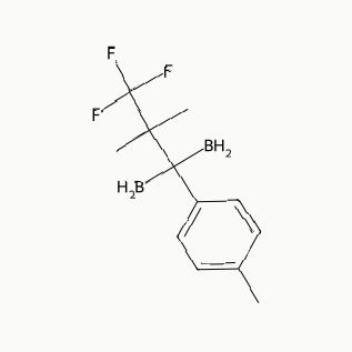 BC(B)(c1ccc(C)cc1)C(C)(C)C(F)(F)F